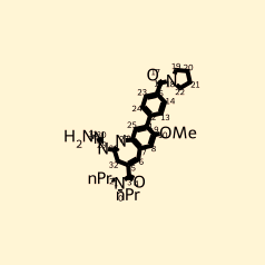 CCCN(CCC)C(=O)C1=Cc2cc(OC)c(-c3ccc(C(=O)N4CCCC4)cc3)cc2N=C(N=NN)C1